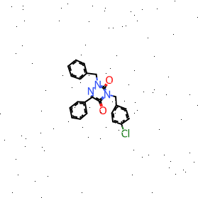 O=c1c(-c2ccccc2)nn(Cc2ccccc2)c(=O)n1Cc1ccc(Cl)cc1